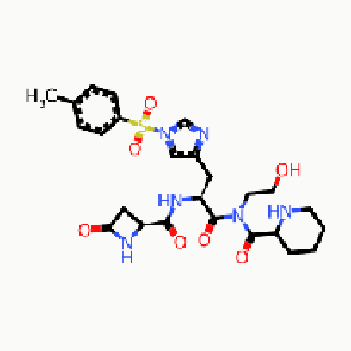 Cc1ccc(S(=O)(=O)n2cnc(C[C@H](NC(=O)[C@@H]3CC(=O)N3)C(=O)N(CCO)C(=O)C3CCCCN3)c2)cc1